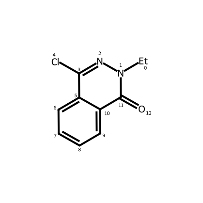 CCn1nc(Cl)c2ccccc2c1=O